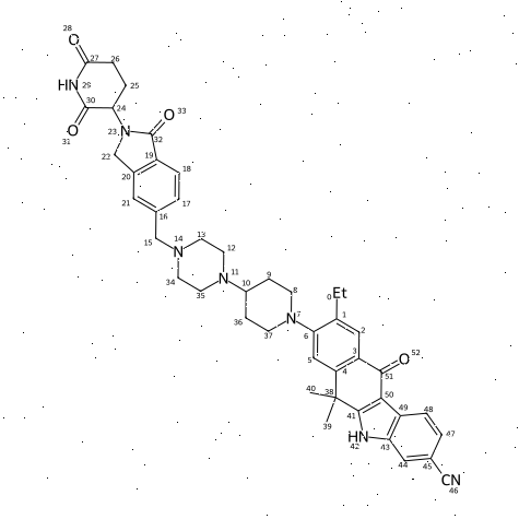 CCc1cc2c(cc1N1CCC(N3CCN(Cc4ccc5c(c4)CN(C4CCC(=O)NC4=O)C5=O)CC3)CC1)C(C)(C)c1[nH]c3cc(C#N)ccc3c1C2=O